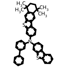 CC1(C)CCC(C)(C)c2cc3c(cc21)sc1cc(N(c2cccc(-c4ccccc4)c2)c2ccc4c(c2)sc2ccccc24)ccc13